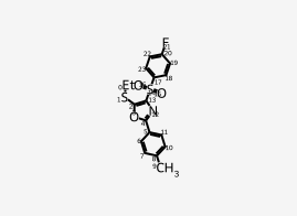 CCSc1oc(-c2ccc(C)cc2)nc1S(=O)(=O)c1ccc(F)cc1